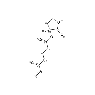 C=CC(=O)OCCC(=O)OC1(C)CCOC1=O